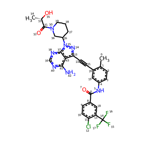 Cc1ccc(NC(=O)c2ccc(Cl)c(C(F)(F)F)c2)cc1C#Cc1nn(C2CCCN(C(=O)[C@H](C)O)C2)c2ncnc(N)c12